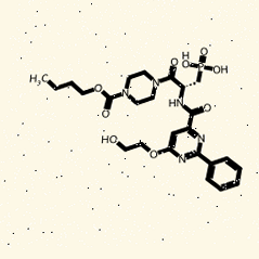 CCCCOC(=O)N1CCN(C(=O)[C@H](CP(=O)(O)O)NC(=O)c2cc(OCCO)nc(-c3ccccc3)n2)CC1